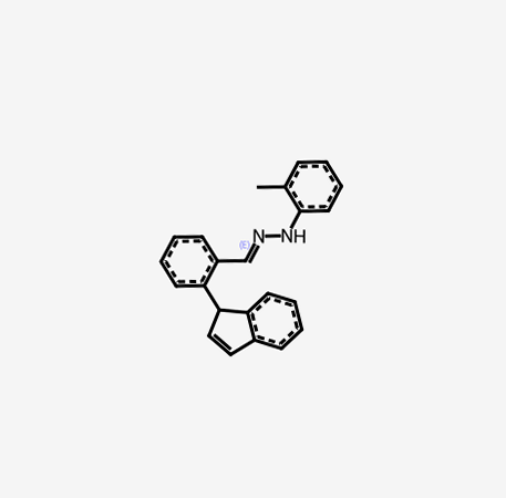 Cc1ccccc1N/N=C/c1ccccc1C1C=Cc2ccccc21